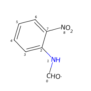 O=[C]Nc1ccccc1[N+](=O)[O-]